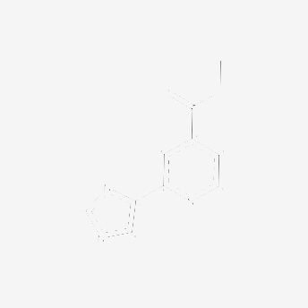 COC(=O)c1ccnc(-c2c[nH]cn2)c1